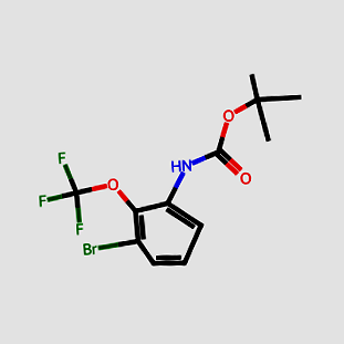 CC(C)(C)OC(=O)Nc1cccc(Br)c1OC(F)(F)F